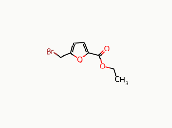 CCOC(=O)c1ccc(CBr)o1